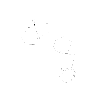 c1cnc(Sc2ccc([C@H]3CC[C@H]4CCCCN43)cc2)nc1